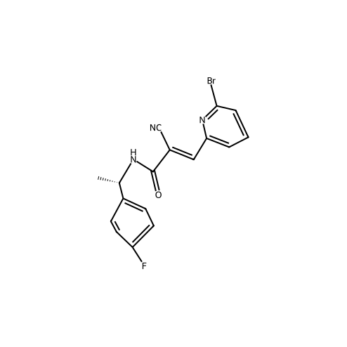 C[C@H](NC(=O)/C(C#N)=C/c1cccc(Br)n1)c1ccc(F)cc1